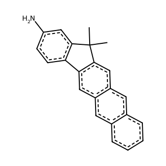 CC1(C)c2cc(N)ccc2-c2cc3cc4ccccc4cc3cc21